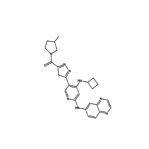 CC1CCN(C(=O)c2nnc(-c3cnc(Nc4ccc5nccnc5c4)cc3NC3CCC3)s2)C1